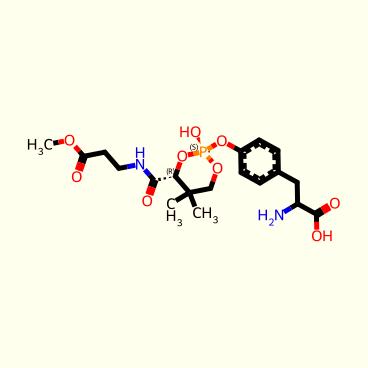 COC(=O)CCNC(=O)[C@@H]1O[P@@](O)(Oc2ccc(CC(N)C(=O)O)cc2)OCC1(C)C